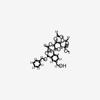 COC(=O)[C@H]1O[C@@H](Nc2ccc(CO)cc2C(=O)OCc2ccccc2)[C@H](OC(C)=O)[C@@H](OC(C)=O)[C@@H]1OC(C)=O